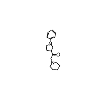 O=C(CN1CCCCC1)C1CCN(c2ccccc2)C1